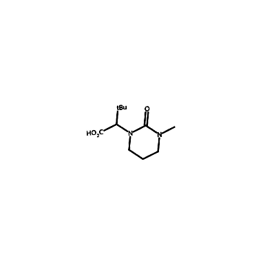 CN1CCCN(C(C(=O)O)C(C)(C)C)C1=O